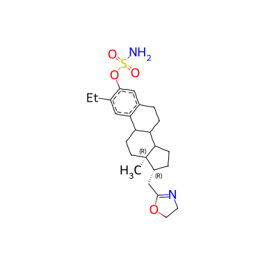 CCc1cc2c(cc1OS(N)(=O)=O)CCC1C2CC[C@@]2(C)C1CC[C@@H]2CC1=NCCO1